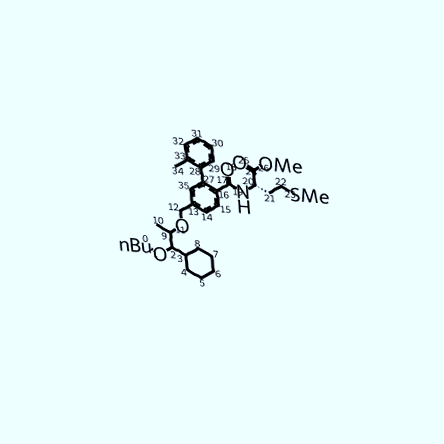 CCCCOC(C1CCCCC1)C(C)OCc1ccc(C(=O)N[C@@H](CCSC)C(=O)OC)c(-c2ccccc2C)c1